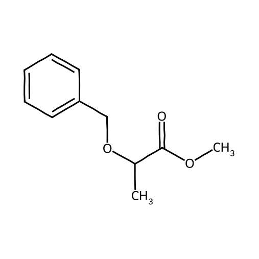 COC(=O)C(C)OCc1ccccc1